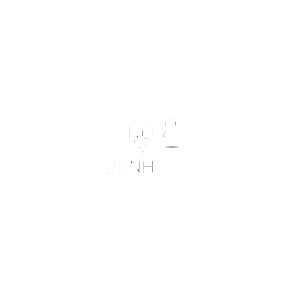 CC(C)C=C(CC(=O)NOC(C)(C)C)C(=O)O